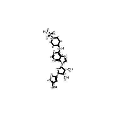 CC(C)(C)c1cc([C@H]2O[C@@H](n3cnc4c(NC5CCN(S(C)(=O)=O)CC5)ncnc43)[C@H](O)[C@@H]2O)on1